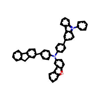 c1ccc(-n2c3ccccc3c3cc(-c4ccc(N(c5ccc(-c6ccc7c(c6)Cc6ccccc6-7)cc5)c5ccc6oc7ccccc7c6c5)cc4)ccc32)cc1